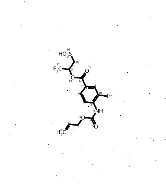 C=CCOC(=O)Nc1ccc(C(=O)OC(CS(=O)(=O)O)C(F)(F)F)cc1I